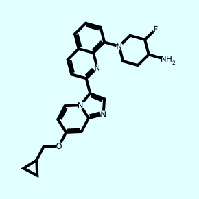 NC1CCN(c2cccc3ccc(-c4cnc5cc(OCC6CC6)ccn45)nc23)CC1F